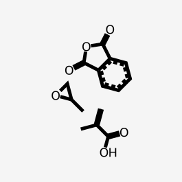 C=C(C)C(=O)O.CC1CO1.O=C1OC(=O)c2ccccc21